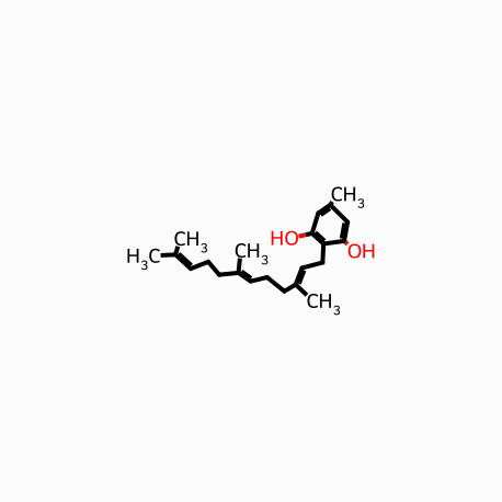 CC(C)=CCC/C(C)=C/CC/C(C)=C/Cc1c(O)cc(C)cc1O